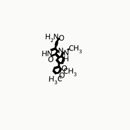 CCNc1nc2c(C#CC(N)=O)c[nH]c(=O)c2c2cc(-c3cccc(OC)c3OC)ccc12